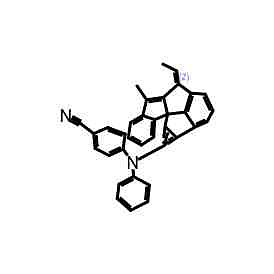 C/C=C1\C2=C(C)c3ccccc3C23c2cc(N(c4ccccc4)c4ccc(C#N)cc4)ccc2-c2cccc1c23